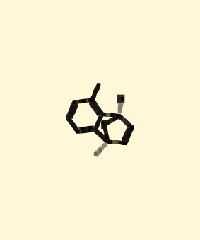 Cc1cccc2c1[C@H]1C=C[C@]2(C)S1